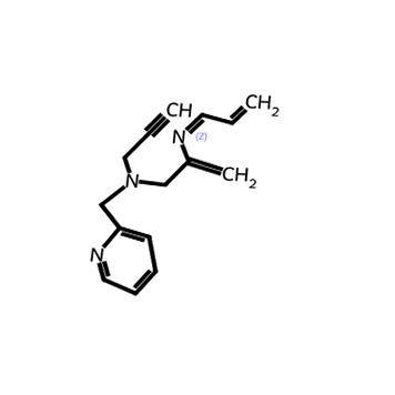 C#CCN(CC(=C)/N=C\C=C)Cc1ccccn1